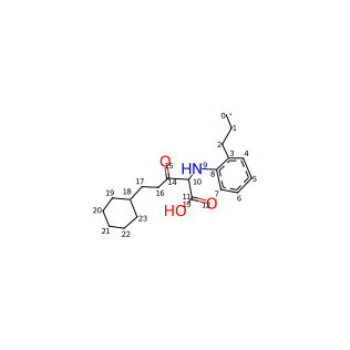 [CH2]CCc1ccccc1NC(C(=O)O)C(=O)CCC1CCCCC1